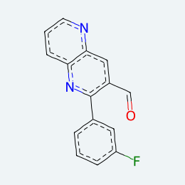 O=Cc1cc2ncccc2nc1-c1cccc(F)c1